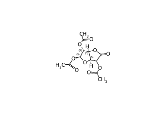 CC(=O)OC1C(=O)O[C@@H]2[C@@H](OC(C)=O)[C@H](OC(C)=O)O[C@H]12